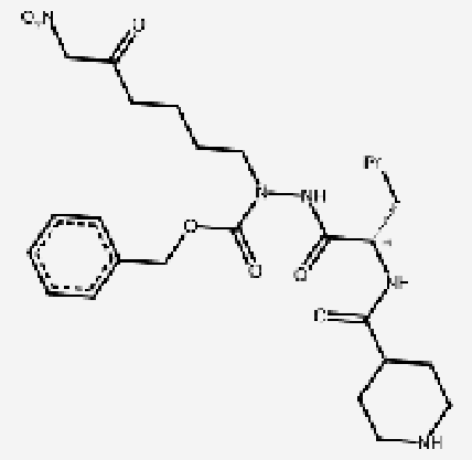 CC(C)C[C@H](NC(=O)C1CCNCC1)C(=O)NN(CCCCC(=O)C[N+](=O)[O-])C(=O)OCc1ccccc1